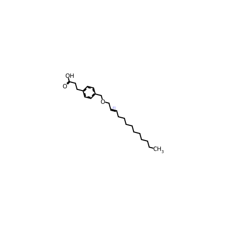 CCCCCCCCCC/C=C/COCc1ccc(CCC(=O)O)cc1